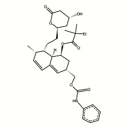 CCC(C)(C)C(=O)O[C@H]1C[C@H](COC(=O)Nc2ccccc2)C=C2C=C[C@H](C)[C@H](CC[C@@H]3C[C@@H](O)CC(=O)O3)[C@H]21